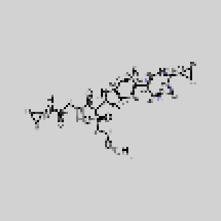 COCCS(=O)(=O)C(C(=O)NCC(=O)NC1CC1)c1nc2cc(F)c(C3=C/N=C(C4CC4)\C=C\C=C\3)cc2s1